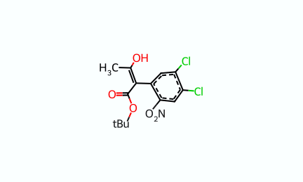 CC(O)=C(C(=O)OC(C)(C)C)c1cc(Cl)c(Cl)cc1[N+](=O)[O-]